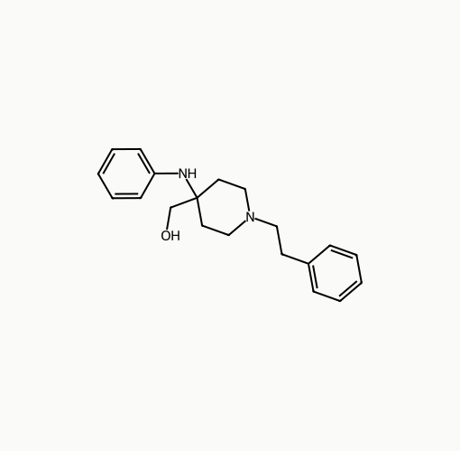 OCC1(Nc2ccccc2)CCN(CCc2ccccc2)CC1